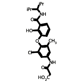 Cc1cc(NC(=O)CC(=O)O)cc(Cl)c1Oc1cccc(C(=O)NC(C(C)C)C(C)C)c1O